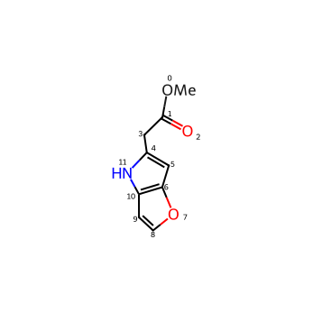 [CH2]OC(=O)Cc1cc2occc2[nH]1